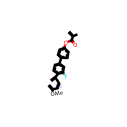 C=C(/C=C\C(=C)c1ccc(-c2ccc(OC(=O)C(=C)C)cc2)cc1F)OC